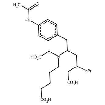 CCCN(CC(=O)O)CC(Cc1ccc(NC(C)=S)cc1)N(CCCCC(=O)O)CC(=O)O